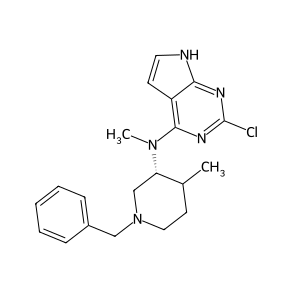 CC1CCN(Cc2ccccc2)C[C@@H]1N(C)c1nc(Cl)nc2[nH]ccc12